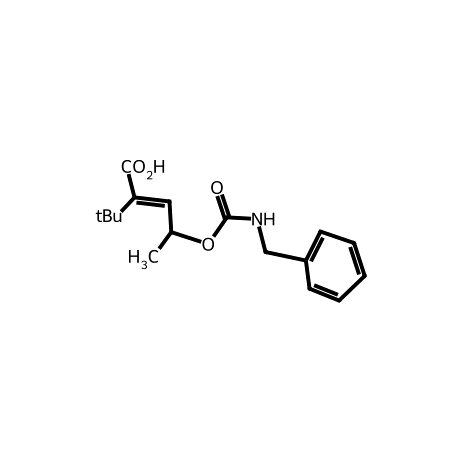 CC(C=C(C(=O)O)C(C)(C)C)OC(=O)NCc1ccccc1